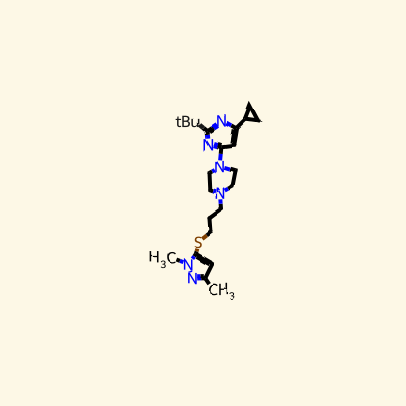 Cc1cc(SCCCN2CCN(c3cc(C4CC4)nc(C(C)(C)C)n3)CC2)n(C)n1